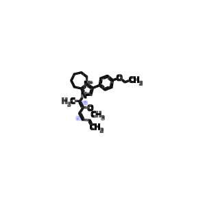 C=C/C=C\C(OC)=C(/C)n1cc(-c2ccc(OCC)cc2)[n+]2c1CCCCC2